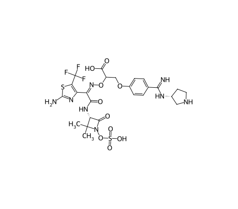 CC1(C)[C@H](NC(=O)/C(=N\OC(COc2ccc(C(=N)N[C@@H]3CCNC3)cc2)C(=O)O)c2nc(N)sc2C(F)(F)F)C(=O)N1OS(=O)(=O)O